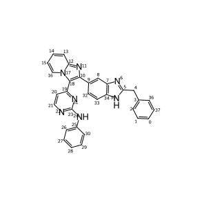 c1ccc(Cc2nc3cc(-c4nc5ccccn5c4-c4ccnc(Nc5ccccc5)n4)ccc3[nH]2)cc1